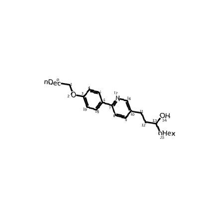 CCCCCCCCCCCOc1ccc(-c2ccc(CCC(O)CCCCCC)cn2)cc1